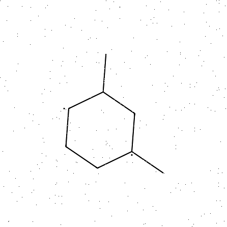 C[C]1CC[CH]C(C)C1